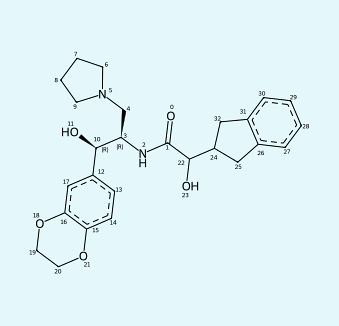 O=C(N[C@H](CN1CCCC1)[C@H](O)c1ccc2c(c1)OCCO2)C(O)C1Cc2ccccc2C1